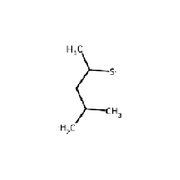 [CH2]C(C)CC(C)[S]